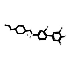 CCCC1CCC(C[SiH2]c2ccc(-c3cc(F)c(F)c(F)c3)c(F)c2)CC1